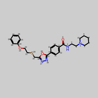 O=C(NCCN1CCCCC1)c1ccc(-c2nnc(CSCCOc3ccccc3)o2)cc1